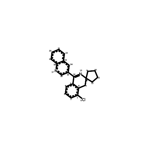 Clc1cccc2c1CC1(CCCC1)N=C2c1cnc2ccccc2c1